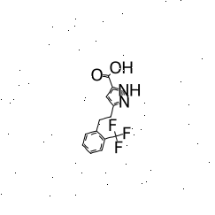 O=C(O)c1cc(CCc2ccccc2C(F)(F)F)n[nH]1